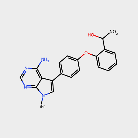 CC(C)n1cc(-c2ccc(Oc3ccccc3C(O)[N+](=O)[O-])cc2)c2c(N)ncnc21